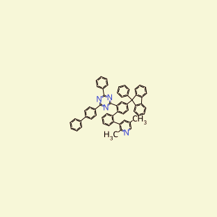 Cc1cnc(C)c(-c2ccccc2-c2ccc(C3(c4ccccc4)c4ccccc4-c4ccccc43)cc2-c2nc(-c3ccccc3)nc(-c3ccc(-c4ccccc4)cc3)n2)c1